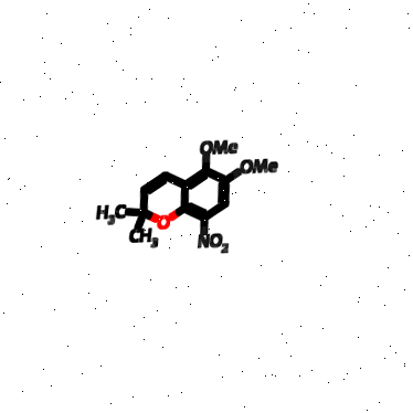 COc1cc([N+](=O)[O-])c2c(c1OC)C=CC(C)(C)O2